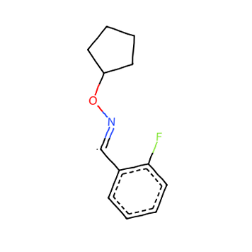 Fc1ccccc1/[C]=N/OC1CCCC1